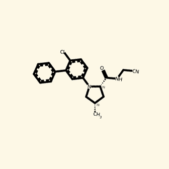 C[C@H]1C[C@@H](C(=O)NCC#N)N(c2ccc(Cl)c(-c3ccccc3)c2)C1